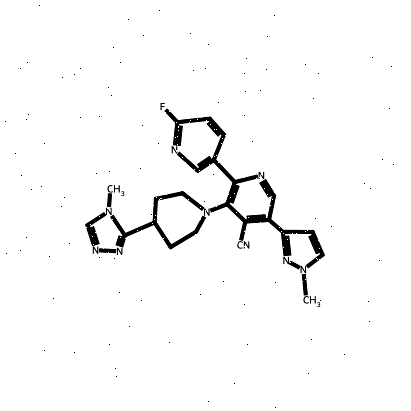 Cn1ccc(-c2cnc(-c3ccc(F)nc3)c(N3CCC(c4nncn4C)CC3)c2C#N)n1